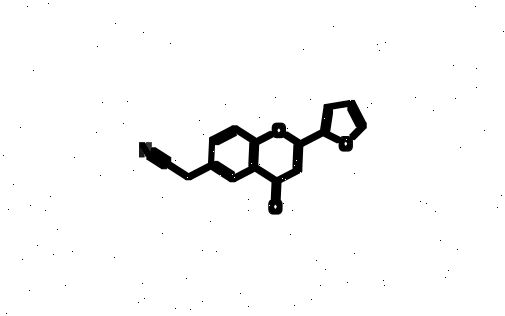 N#CCc1ccc2oc(-c3ccco3)cc(=O)c2c1